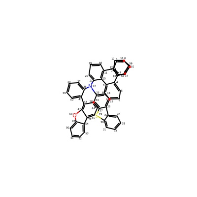 c1ccc(-c2ccccc2-c2c(-c3ccccc3)cccc2N(c2ccc3c(c2)sc2ccccc23)c2ccccc2-c2cccc3c2oc2ccccc23)cc1